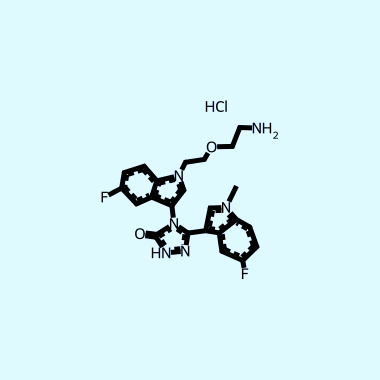 Cl.Cn1cc(-c2n[nH]c(=O)n2-c2cn(CCOCCN)c3ccc(F)cc23)c2cc(F)ccc21